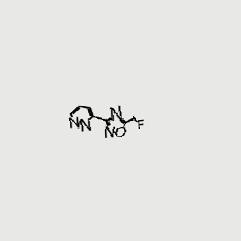 FCc1nc(-c2cccnn2)no1